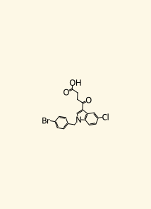 O=C(O)CCC(=O)c1cn(Cc2ccc(Br)cc2)c2ccc(Cl)cc12